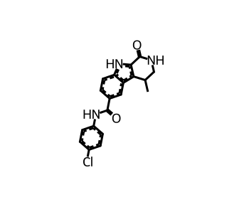 CC1CNC(=O)c2[nH]c3ccc(C(=O)Nc4ccc(Cl)cc4)cc3c21